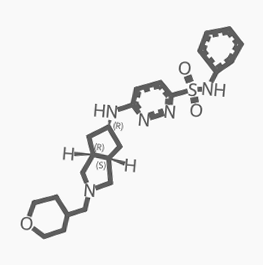 O=S(=O)(Nc1ccccc1)c1ccc(N[C@@H]2C[C@@H]3CN(CC4CCOCC4)C[C@@H]3C2)nn1